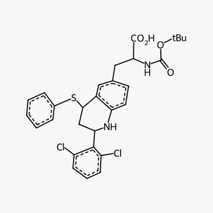 CC(C)(C)OC(=O)NC(Cc1ccc2c(c1)C(Sc1ccccc1)CC(c1c(Cl)cccc1Cl)N2)C(=O)O